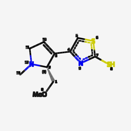 COC[C@H]1C(c2csc(S)n2)=CCN1C